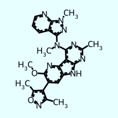 COc1nc2c(cc1-c1c(C)noc1C)[nH]c1nc(C)nc(N(C)c3nn(C)c4ncccc34)c12